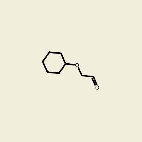 O=CCOC1CCCCC1